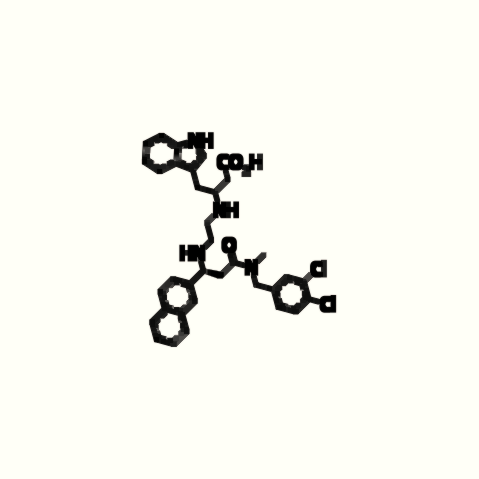 CN(Cc1ccc(Cl)c(Cl)c1)C(=O)C[C@H](NCCNC(CC(=O)O)Cc1c[nH]c2ccccc12)c1ccc2ccccc2c1